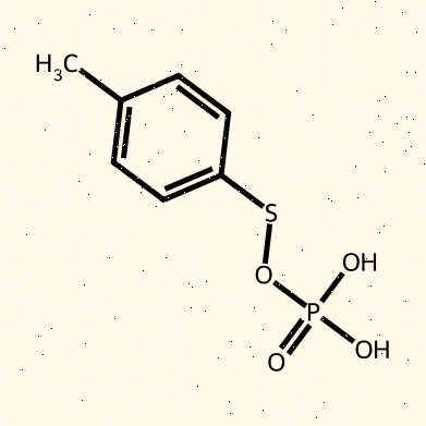 Cc1ccc(SOP(=O)(O)O)cc1